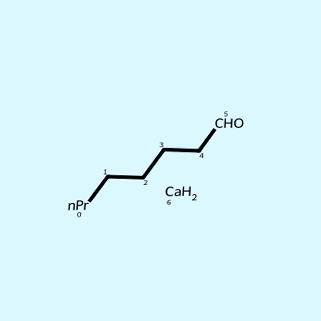 CCCCCCCC=O.[CaH2]